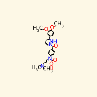 CCOc1ccc(C2CC=CN(C(=O)c3ccc(N(CCCN(C)C)C(=O)O)cc3)N2)cc1OCC